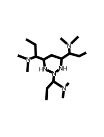 CCC(C1CC(C(CC)N(C)C)NN(C(CC)N(C)C)N1)N(C)C